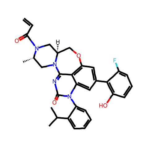 C=CC(=O)N1C[C@H]2COc3cc(-c4c(O)cccc4F)cc4c3c(nc(=O)n4-c3ccccc3C(C)C)N2C[C@@H]1C